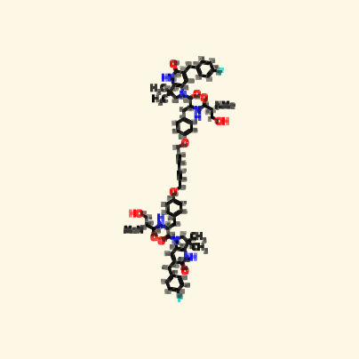 CN[C@H](CO)C(=O)N[C@@H](Cc1ccc(OCC#CC#CCOc2ccc(C[C@H](NC(=O)[C@@H](CO)NC)C(=O)N3CC(C)(C)c4[nH]c(=O)c(Cc5ccc(F)cc5)cc43)cc2)cc1)C(=O)N1CC(C)(C)c2[nH]c(=O)c(Cc3ccc(F)cc3)cc21